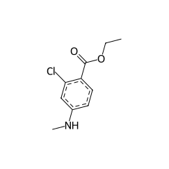 CCOC(=O)c1ccc(NC)cc1Cl